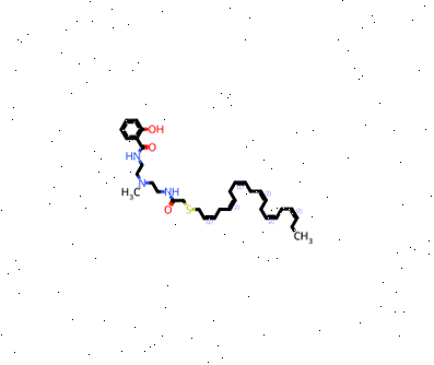 CC/C=C\C/C=C\C/C=C\C/C=C\C/C=C\C/C=C\CSCC(=O)NCCN(C)CCNC(=O)c1ccccc1O